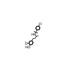 COc1cc(CCC(C)NC(C)(C)c2ccc(Cl)cc2)ccc1O